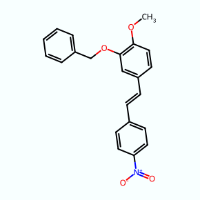 COc1ccc(C=Cc2ccc([N+](=O)[O-])cc2)cc1OCc1ccccc1